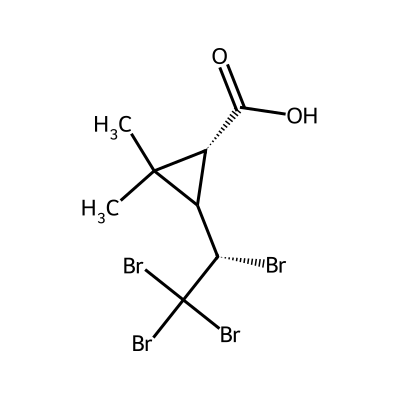 CC1(C)C([C@H](Br)C(Br)(Br)Br)[C@H]1C(=O)O